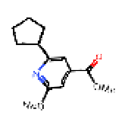 COC(=O)c1cc(OC)nc(C2CCCC2)c1